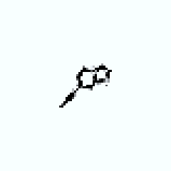 CC#Cc1ccn2ccnc2c1